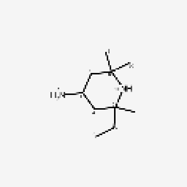 CCC1(C)CC(N)CC(C)(C)N1